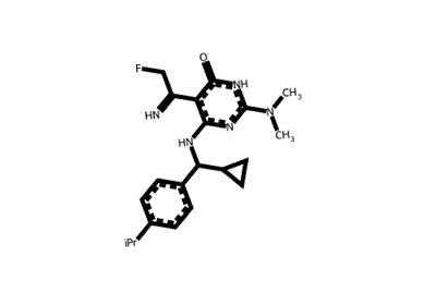 CC(C)c1ccc(C(Nc2nc(N(C)C)[nH]c(=O)c2C(=N)CF)C2CC2)cc1